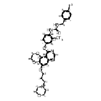 O=C(NCc1ccc(F)cc1)Nc1ccc(Oc2ncnc3cc(OCCCN4CCOCC4)c4c(c23)OCCO4)cc1C(F)(F)F